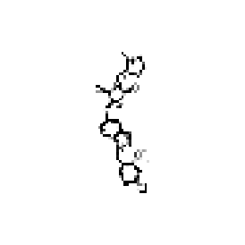 CN1CCC[C@H]1CN1C(=O)SC(=Cc2ccc3c(cnn3Cc3ccc(Cl)cc3C(F)(F)F)c2)C1=O